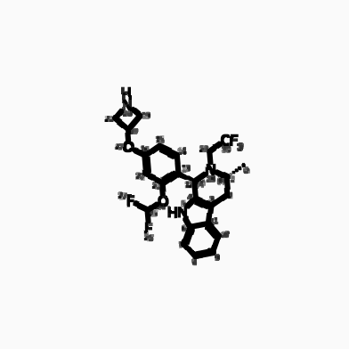 C[C@@H]1Cc2c([nH]c3ccccc23)[C@@H](c2ccc(OC3CNC3)cc2OC(F)F)N1CC(F)(F)F